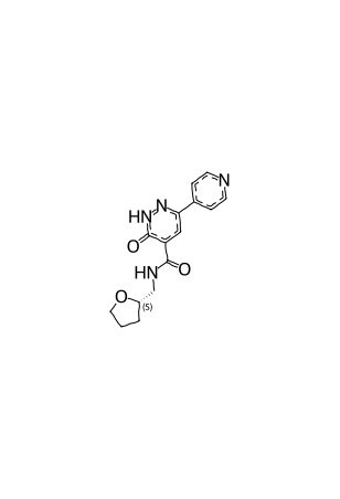 O=C(NC[C@@H]1CCCO1)c1cc(-c2ccncc2)n[nH]c1=O